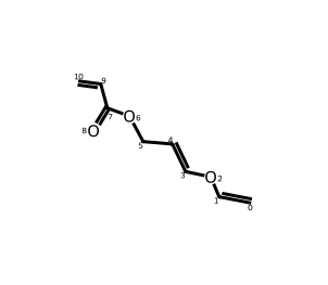 C=COC=CCOC(=O)C=C